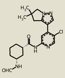 CC1(C)Cc2c(-c3cc(NC(=O)[C@H]4CCC[C@@H](NC=O)C4)ncc3Cl)cnn2C1